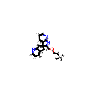 C[Si](C)(C)CCOCC1=Nc2ncccc2C12Cc1cccnc1C2